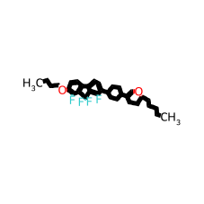 CCCCCC1CCC(C2CCC(c3ccc4c(c3F)C(F)(F)c3c-4ccc(OCCCC)c3F)CC2)=CO1